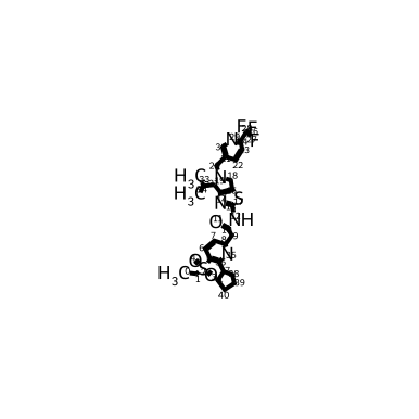 CCS(=O)(=O)c1ccc(CC(=O)Nc2nc3c(s2)CN(Cc2ccc(C(F)(F)F)nc2)C3C(C)C)nc1C1CCCC1